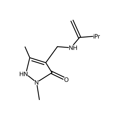 C=C(NCc1c(C)[nH]n(C)c1=O)C(C)C